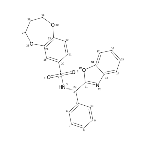 O=S(=O)(N[C@@H](c1ccccc1)c1nc2ccccc2o1)c1ccc2c(c1)OCCCO2